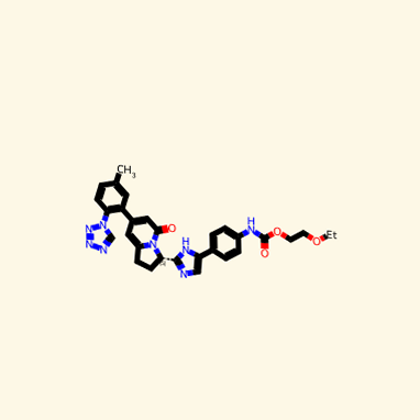 CCOCCOC(=O)Nc1ccc(-c2cnc([C@@H]3CCc4cc(-c5cc(C)ccc5-n5cnnn5)cc(=O)n43)[nH]2)cc1